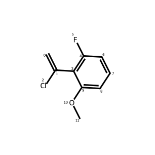 C=C(Cl)c1c(F)cccc1OC